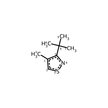 Cc1csnc1C(C)(C)C